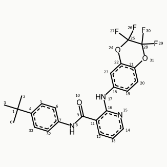 CC(C)(C)c1ccc(NC(=O)c2cccnc2Nc2ccc3c(c2)OC(F)(F)C(F)(F)O3)cc1